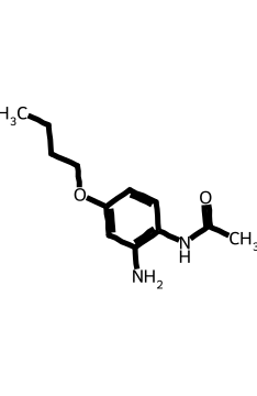 CCCCOc1ccc(NC(C)=O)c(N)c1